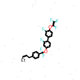 CC/C=C\Cc1ccc(C(F)(F)Oc2ccc(-c3ccc(OC(F)=C(F)F)c(F)c3)c(F)c2)cc1